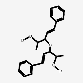 CCOC(C)C(C=Cc1ccccc1)OC(C=Cc1ccccc1)C(C)OCC